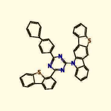 c1ccc(-c2ccc(-c3nc(-c4cccc5c4sc4ccccc45)nc(-n4c5ccccc5c5cc6sc7ccccc7c6cc54)n3)cc2)cc1